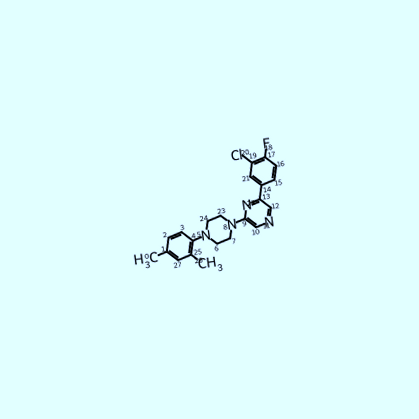 Cc1ccc(N2CCN(c3cncc(-c4ccc(F)c(Cl)c4)n3)CC2)c(C)c1